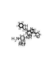 Cl.Cl.N[C@H]1CC[C@H](Nc2nc(NCc3ccccc3)c3ncn(C4CCOC4)c3n2)CC1